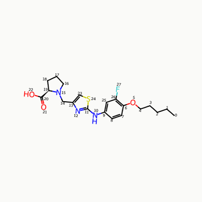 CCCCCOc1ccc(Nc2nc(CN3CCC[C@@H]3C(=O)O)cs2)cc1F